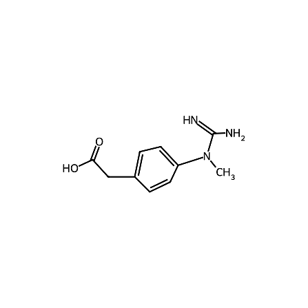 CN(C(=N)N)c1ccc(CC(=O)O)cc1